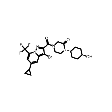 O=C(c1nn2c(C(F)(F)F)cc(C3CC3)cc2c1Br)N1CCN([C@H]2CC[C@H](O)CC2)C(=O)C1